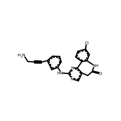 NCC#Cc1cccc(Nc2ncc3c(n2)-c2ccc(Cl)cc2NC(=O)C3)c1